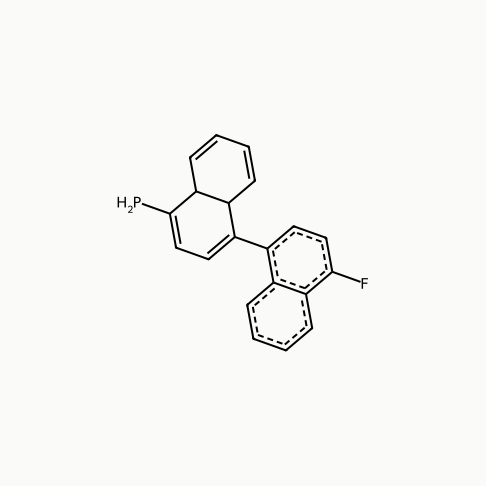 Fc1ccc(C2=CC=C(P)C3C=CC=CC23)c2ccccc12